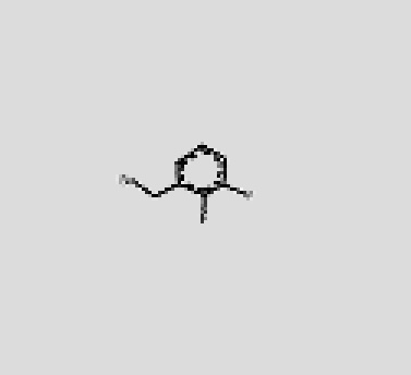 CCC(C)Cc1cccc(F)c1F